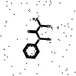 CN(C)C(=O)N(c1ccccc1)C(C)(C)C